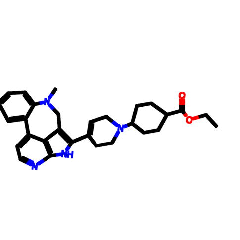 CCOC(=O)C1CCC(N2CC=C(c3[nH]c4nccc5c4c3CN(C)c3ccccc3-5)CC2)CC1